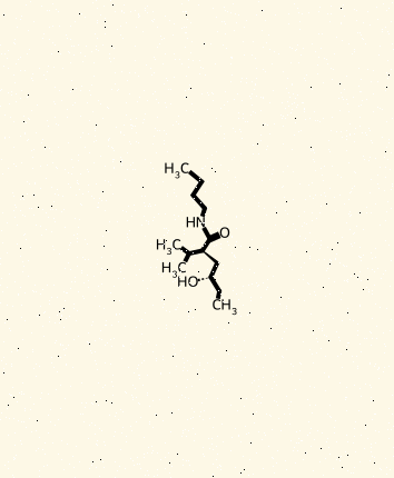 CCCCNC(=O)[C@@H](C[C@@H](O)CC)C(C)C